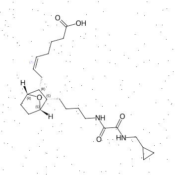 O=C(O)CCC/C=C\C[C@@H]1[C@H](CCCCNC(=O)C(=O)NCC2CC2)[C@@H]2CC[C@H]1O2